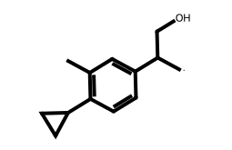 [CH2]C(CO)c1ccc(C2CC2)c(C)c1